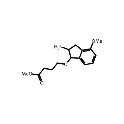 COC(=O)CCCOC1c2cccc(OC)c2CC1N